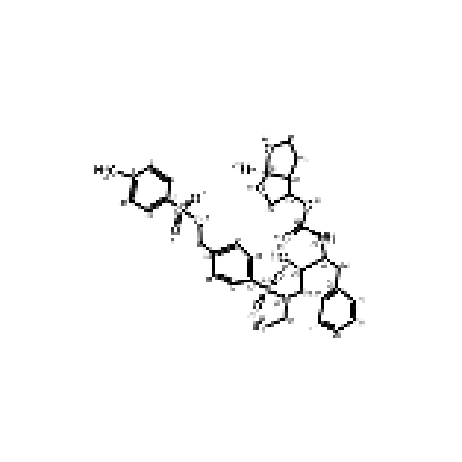 Cc1ccc(S(=O)(=O)OCc2ccc(S(=O)(=O)N(CC(C)C)C[C@@H](O)[C@H](Cc3ccccc3)NC(=O)OC3CO[C@H]4OCCC34)cc2)cc1